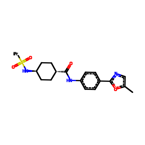 Cc1cnc(-c2ccc(NC(=O)[C@H]3CC[C@H](NS(=O)(=O)C(C)C)CC3)cc2)o1